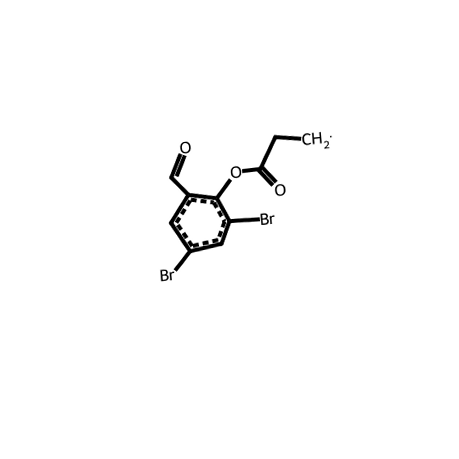 [CH2]CC(=O)Oc1c(Br)cc(Br)cc1C=O